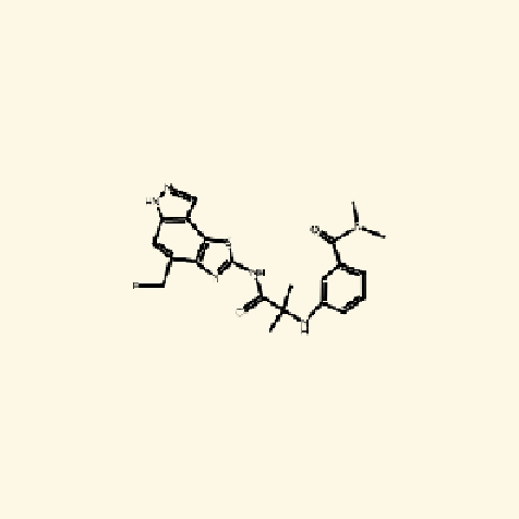 CN(C)C(=O)c1cccc(NC(C)(C)C(=O)Nc2nc3c(CF)cc4[nH]ncc4c3s2)c1